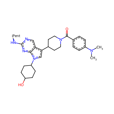 CCC[C@H](C)Nc1ncc2c(C3CCN(C(=O)c4ccc(N(C)C)cc4)CC3)cn(C3CCC(O)CC3)c2n1